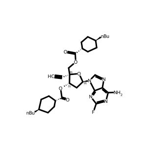 C#C[C@]1(COC(=O)[C@H]2CC[C@H](CCCC)CC2)O[C@@H](n2cnc3c(N)nc(F)nc32)C[C@@H]1OC(=O)[C@H]1CC[C@H](CCCC)CC1